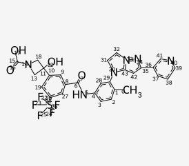 Cc1ccc(NC(=O)c2cc(C3(O)CN(C(=O)O)C3)cc(S(F)(F)(F)(F)F)c2)cc1-n1ccn2nc(-c3cccnc3)cc12